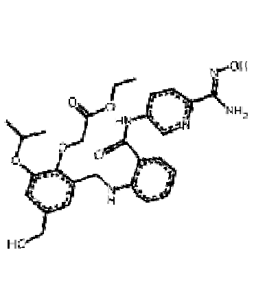 CCOC(=O)COc1c(CNc2ccccc2C(=O)Nc2ccc(/C(N)=N/O)nc2)cc(CO)cc1OC(C)C